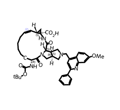 COc1ccc2c(CN3C[C@H]4CN5C(=O)[C@H](NC(=O)OC(C)(C)C)CCCCC/C=C\[C@@H]6C[C@@]6(C(=O)O)NC(=O)[C@@H]5[C@H]4C3)cc(-c3ccccc3)nc2c1